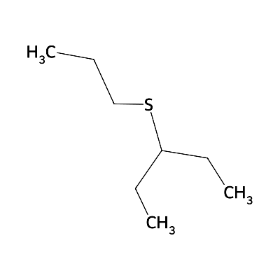 CCCSC(CC)CC